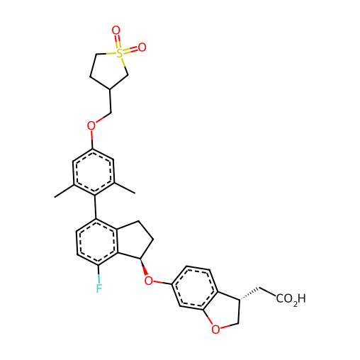 Cc1cc(OCC2CCS(=O)(=O)C2)cc(C)c1-c1ccc(F)c2c1CC[C@H]2Oc1ccc2c(c1)OC[C@H]2CC(=O)O